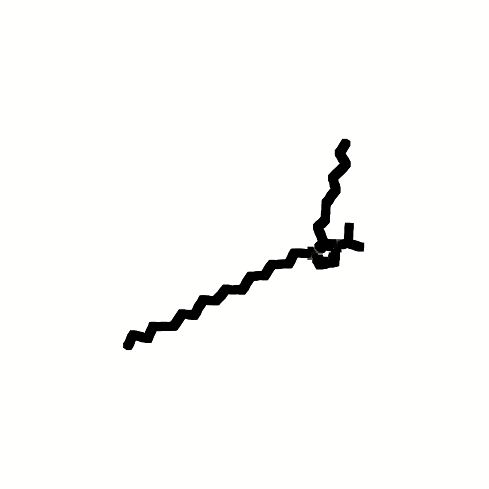 CCCCCCCCCCCCCCCC[n+]1ccn(C(C)C)c1CCCCCCCC